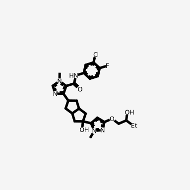 CCC(O)COc1cc(C2(O)CC3CC(c4ncn(C)c4C(=O)Nc4ccc(F)c(Cl)c4)CC3C2)n(C)n1